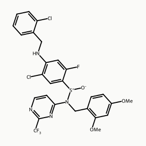 COc1ccc(CN(c2ccnc(C(F)(F)F)n2)[S+]([O-])c2cc(Cl)c(NCc3ccccc3Cl)cc2F)c(OC)c1